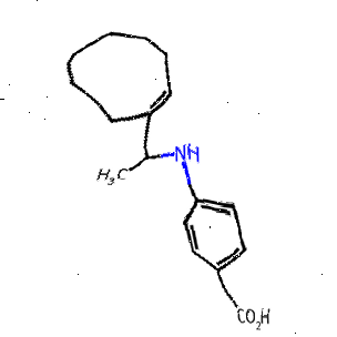 CC(Nc1ccc(C(=O)O)cc1)/C1=C/CCCCCC1